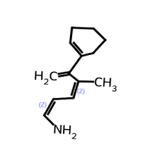 C=C(C1=CCCCC1)/C(C)=C\C=C/N